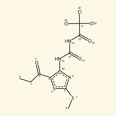 CCC(=O)c1sc(SC)nc1NC(=O)NC(=O)C(Cl)(Cl)Cl